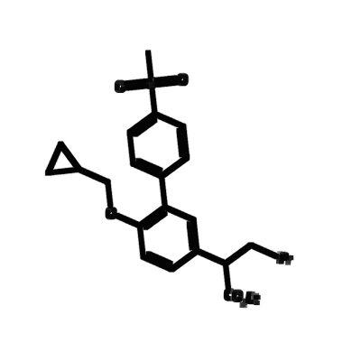 CCOC(=O)C(CC(C)C)c1ccc(OCC2CC2)c(-c2ccc(S(C)(=O)=O)cc2)c1